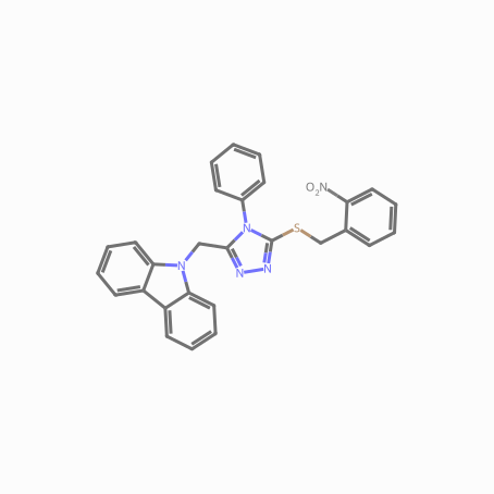 O=[N+]([O-])c1ccccc1CSc1nnc(Cn2c3ccccc3c3ccccc32)n1-c1ccccc1